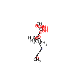 C=C(C)OCC(CCCOC1CC(COC(C)=O)C(O)C(O)C1O)OC(CCCC)CC(C)CCCCCC/C=C\CCCCCCCC(=O)CC